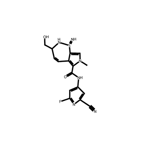 Cn1cc2c(c1C(=O)Nc1cc(F)nc(C#N)c1)C=CC(CO)NS2=N